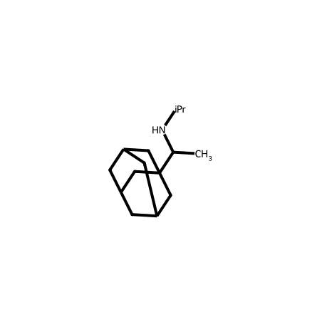 CC(C)NC(C)C12CC3CC(CC(C3)C1)C2